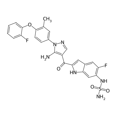 Cc1cc(-n2ncc(C(=O)c3cc4cc(F)c(NS(N)(=O)=O)cc4[nH]3)c2N)ccc1Oc1ccccc1F